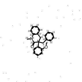 COc1ccccc1C1(Cc2ccccc2)Cc2ccccc2N(C)C1=O